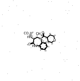 C[C@H]1[C@H](NC(=O)O)C(=O)Nc2ccccc2N1C(=O)C1CCOCC1